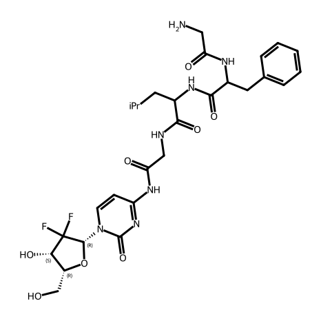 CC(C)CC(NC(=O)C(Cc1ccccc1)NC(=O)CN)C(=O)NCC(=O)Nc1ccn([C@@H]2O[C@H](CO)[C@H](O)C2(F)F)c(=O)n1